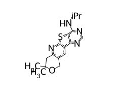 CC(C)Nc1ncnc2c1sc1nc3c(cc12)COC(C)(C)C3